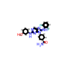 NC(=O)[C@H]1CC[C@H](n2c(Nc3c(F)cccc3F)nc3cnc(N[C@@H]4CCC[C@@H](O)C4)nc32)CC1